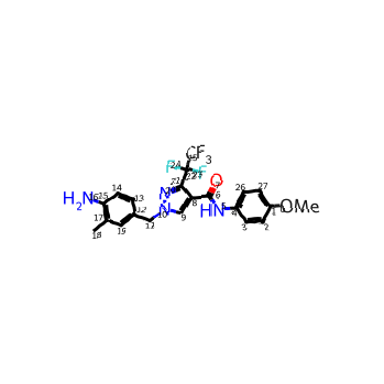 COc1ccc(NC(=O)c2cn(Cc3ccc(N)c(C)c3)nc2C(F)(F)C(F)(F)F)cc1